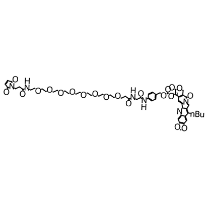 CCCCc1c2c(nc3cc4c(cc13)OCO4)-c1cc3c(c(=O)n1C2)COC(=O)[C@H]3OC(=O)OCc1ccc(NC(=O)CNC(=O)CCOCCOCCOCCOCCOCCOCCOCCOCCNC(=O)CCN2C(=O)C=CC2=O)cc1